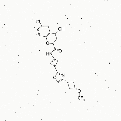 O=C(NC12CC(c3nc([C@H]4C[C@@H](OC(F)(F)F)C4)co3)(C1)C2)C1CC(O)c2cc(Cl)ccc2O1